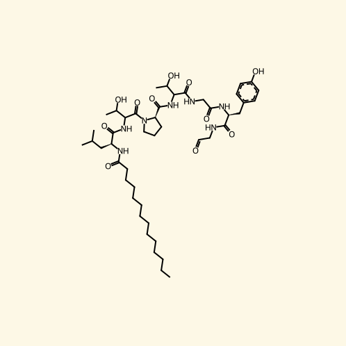 CCCCCCCCCCCCCC(=O)N[C@@H](CC(C)C)C(=O)NC(C(=O)N1CCC[C@@H]1C(=O)NC(C(=O)NCC(=O)N[C@@H](Cc1ccc(O)cc1)C(=O)NCC=O)C(C)O)C(C)O